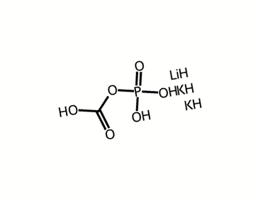 O=C(O)OP(=O)(O)O.[KH].[KH].[LiH]